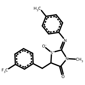 Cc1ccc(/N=C2/N(C)C(=O)C(Cc3cccc(C(F)(F)F)c3)[S+]2[O-])cc1